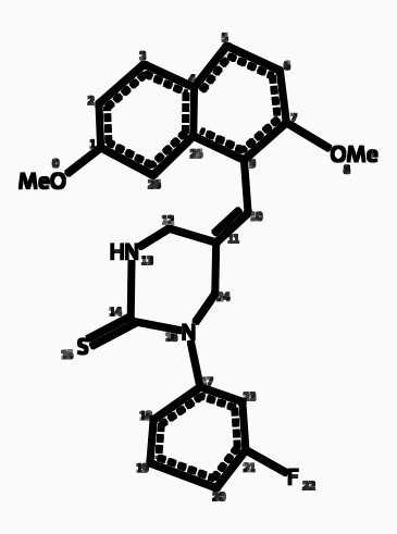 COc1ccc2ccc(OC)c(C=C3CNC(=S)N(c4cccc(F)c4)C3)c2c1